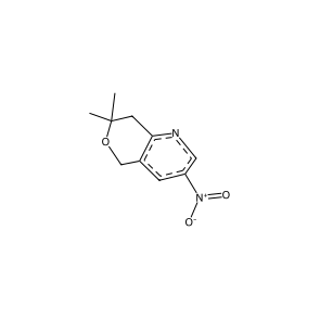 CC1(C)Cc2ncc([N+](=O)[O-])cc2CO1